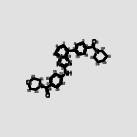 O=C(c1ccc(-c2cccn3nc(Nc4ccc(C(=O)N5CCOCC5)cc4)nc23)cc1)N1CCCCC1